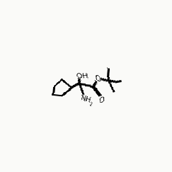 CC(C)(C)OC(=O)C(N)(O)C1CCCC1